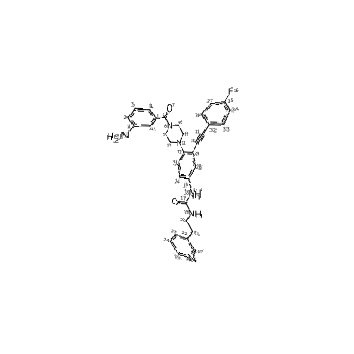 Nc1cccc(C(=O)N2CCN(c3ccc(NC(=O)NCCc4cccnc4)cc3C#Cc3ccc(F)cc3)CC2)c1